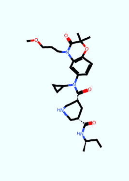 CC[C@@H](C)NC(=O)[C@@H]1CNC[C@H](C(=O)N(c2ccc3c(c2)N(CCCOC)C(=O)C(C)(C)O3)C2CC2)C1